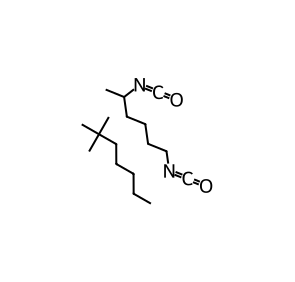 CC(CCCCN=C=O)N=C=O.CCCCCC(C)(C)C